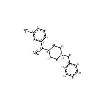 N#CC(c1cccc(F)c1)C1CCN(Cc2ccccc2)CC1